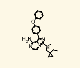 CCC1(C[C@H](C)c2nc(-c3ccc(Oc4ccccc4)cc3)c3c(N)nccn23)CC1